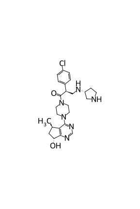 C[C@@H]1C[C@@H](O)c2ncnc(N3CCN(C(=O)[C@H](CN[C@@H]4CCNC4)c4ccc(Cl)cc4)CC3)c21